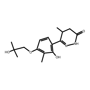 Cc1c(OCC(C)(C)O)ccc(C2=NNC(=O)CC2C)c1O